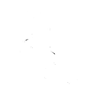 CCNC(=O)N(CCN1CCCC1)C(=O)[C@@H]1C[C@@H]2CC3(CC[C@H]2N(C)C1)OCCO3